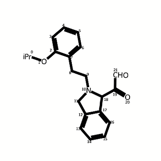 CC(C)Oc1ccccc1CCN1Cc2ccccc2C1C(=O)C=O